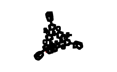 CSN1c2cc3c(cc2B2c4cc5c(cc4Oc4cc(C67CC8CC(CC(C8)C6)C7)cc1c42)N(SC)c1cc(C24CC6CC(CC(C6)C2)C4)cc2c1B5c1sc4ccccc4c1O2)B1c2sc4ccccc4c2Oc2cc(C45CC6CC(CC(C6)C4)C5)cc(c21)O3